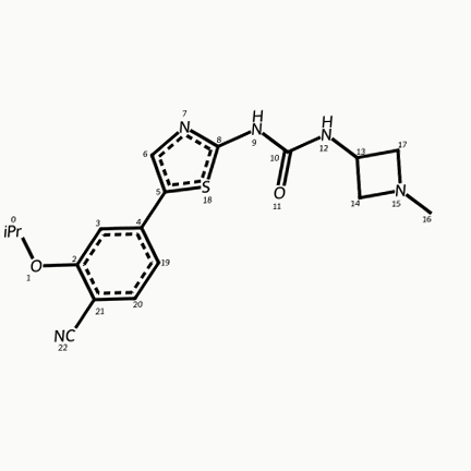 CC(C)Oc1cc(-c2cnc(NC(=O)NC3CN(C)C3)s2)ccc1C#N